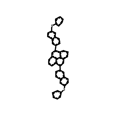 c1ccc(Sc2ccc3cc(-c4cc5cccc6c(-c7ccc8cc(Sc9ccccc9)ccc8c7)cc7cccc4c7c56)ccc3c2)cc1